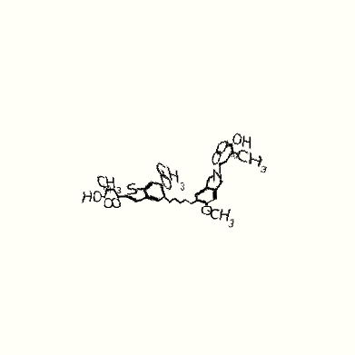 COc1cc2c(cc1CCCCCc1cc3cc(C(=O)C[C@H](C)C(=O)O)sc3cc1OC)CN(C(=O)C[C@H](C)C(=O)O)C2